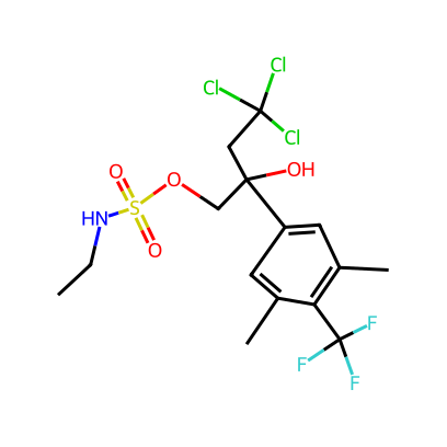 CCNS(=O)(=O)OCC(O)(CC(Cl)(Cl)Cl)c1cc(C)c(C(F)(F)F)c(C)c1